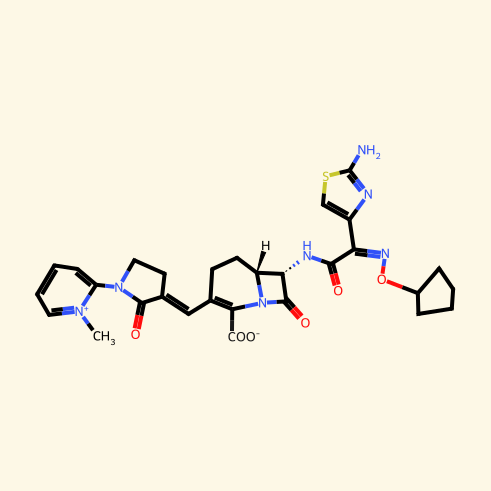 C[n+]1ccccc1N1CCC(=CC2=C(C(=O)[O-])N3C(=O)[C@@H](NC(=O)/C(=N\OC4CCCC4)c4csc(N)n4)[C@H]3CC2)C1=O